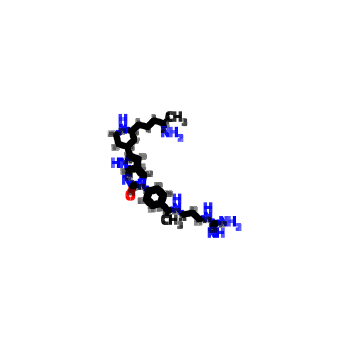 C[C@H](N)CCCC1CC(c2cc3cn(-c4ccc([C@H](C)NCCCNC(=N)N)cc4)c(=O)nc3[nH]2)CCN1